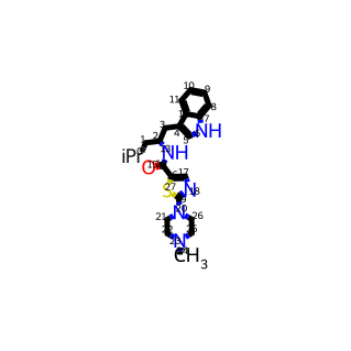 CC(C)CC(Cc1c[nH]c2ccccc12)NC(=O)c1cnc(N2CCN(C)CC2)s1